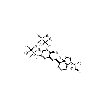 C=C1/C(=C\C=C2/CCC[C@]3(C)C([C@H](C)C=O)CC[C@@H]23)C[C@@H](O[Si](C)(C)C(C)(C)C)C[C@@H]1CC(C)(C)[Si](C)(C)O